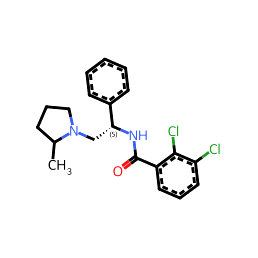 CC1CCCN1C[C@@H](NC(=O)c1cccc(Cl)c1Cl)c1ccccc1